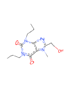 CCCn1c(=O)c2c(nc(CO)n2C)n(CCC)c1=O